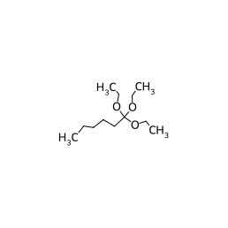 CCCCCC(OCC)(OCC)OCC